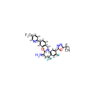 CC(C)(C#N)c1nnc(-c2cc3c(cc2F)C(F)(F)CC(N)C(=O)N3Cc2ccc(-c3ccc(C(F)(F)F)cn3)cc2)o1